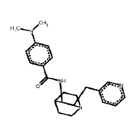 CN(C)c1ccc(C(=O)NC2C3CCN(CC3)C2Cc2cccnc2)cc1